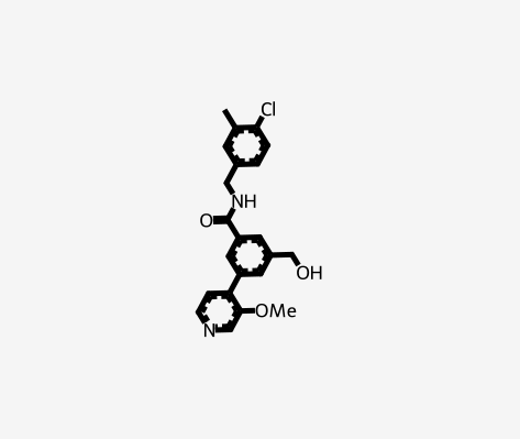 COc1cnccc1-c1cc(CO)cc(C(=O)NCc2ccc(Cl)c(C)c2)c1